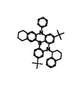 CC(C)(C)c1ccc2c(c1)N(C1CCCc3ccccc31)c1cc(C(C)(C)C)cc3c1B2c1cc2c(cc1N3c1ccccc1)CCCC2